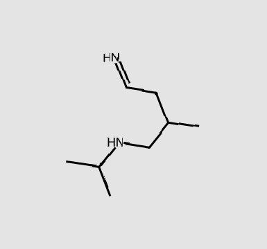 CC(CC=N)CNC(C)C